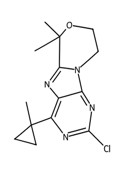 CC1(c2nc(Cl)nc3c2nc2n3CCOC2(C)C)CC1